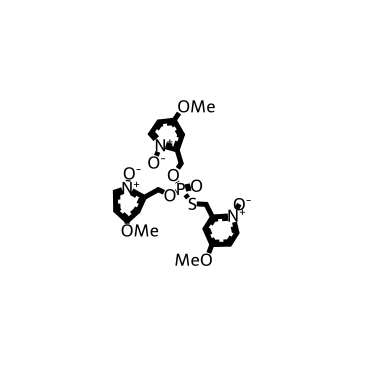 COc1cc[n+]([O-])c(COP(=O)(OCc2cc(OC)cc[n+]2[O-])SCc2cc(OC)cc[n+]2[O-])c1